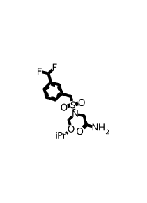 CC(C)OCN(CC(N)=O)S(=O)(=O)Cc1cccc(C(F)F)c1